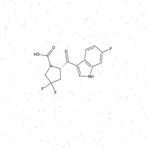 O=C(c1c[nH]c2cc(F)ccc12)[C@@H]1CC(F)(F)CN1C(=O)O